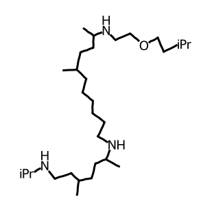 CC(C)CCOCCNC(C)CCC(C)CCCCCCNC(C)CCC(C)CCNC(C)C